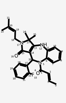 C/C=C/C(=O)N1c2ccccc2NC2=C(C(=O)N(CC=C(C)C)C2(C)C)C1c1ccccc1F